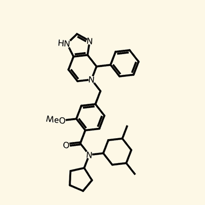 COc1cc(CN2C=Cc3[nH]cnc3C2c2ccccc2)ccc1C(=O)N(C1CCCC1)C1CC(C)CC(C)C1